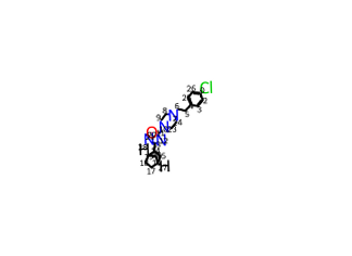 Clc1ccc(CCN2CCN(c3nc(C4C[C@@H]5CC[C@H]4C5)no3)CC2)cc1